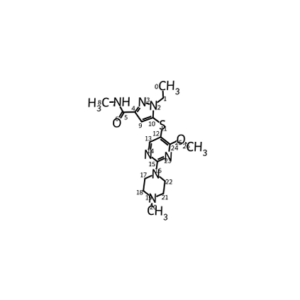 CCn1nc(C(=O)NC)cc1Sc1cnc(N2CCN(C)CC2)nc1OC